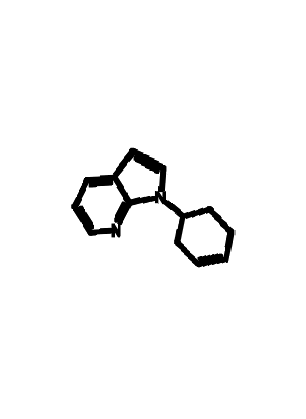 C1=CCC(n2ccc3cccnc32)CC1